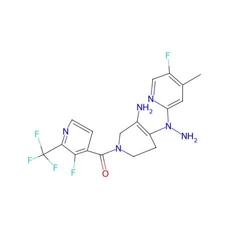 Cc1cc(N(N)C2=C(N)CN(C(=O)c3ccnc(C(F)(F)F)c3F)CC2)ncc1F